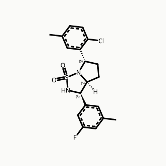 Cc1cc(F)cc([C@H]2NS(=O)(=O)N3[C@H](c4cc(C)ccc4Cl)CC[C@@H]23)c1